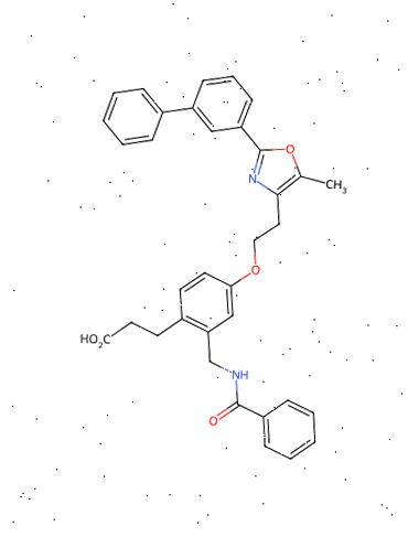 Cc1oc(-c2cccc(-c3ccccc3)c2)nc1CCOc1ccc(CCC(=O)O)c(CNC(=O)c2ccccc2)c1